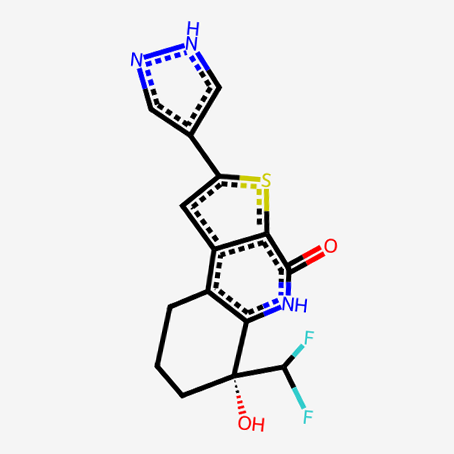 O=c1[nH]c2c(c3cc(-c4cn[nH]c4)sc13)CCC[C@]2(O)C(F)F